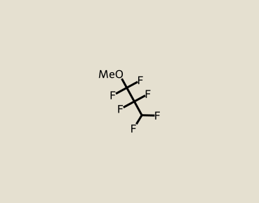 COC(F)(F)C(F)(F)C(F)F